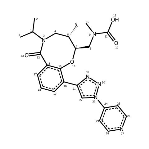 CC(C)N1C[C@H](C)[C@@H](CN(C)C(=O)O)Oc2c(cccc2-c2cn(-c3ccncc3)nn2)C1=O